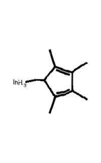 C[C]1C(C)=C(C)C(C)=C1C.[InH3]